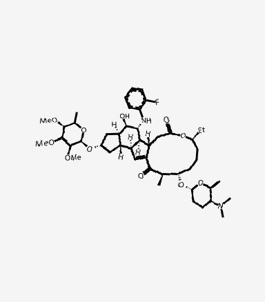 CC[C@H]1CCC[C@H](O[C@H]2CC[C@H](N(C)C)C(C)O2)[C@@H](C)C(=O)C2=C[C@H]3[C@@H]4C[C@H](O[C@@H]5OC(C)[C@H](OC)C(OC)C5OC)C[C@H]4[C@@H](O)[C@H](Nc4ccccc4F)[C@H]3[C@@H]2CC(=O)O1